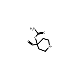 NC(=O)OC1(C=O)CCNCC1